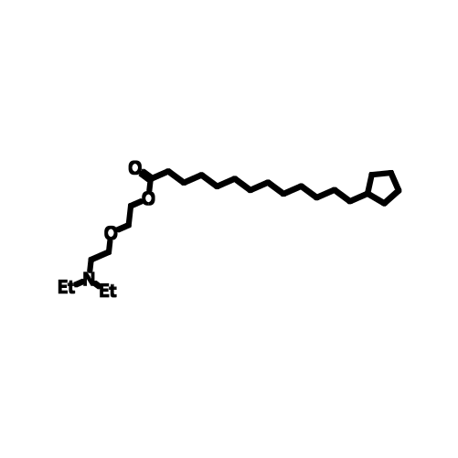 CCN(CC)CCOCCOC(=O)CCCCCCCCCCCCC1CCCC1